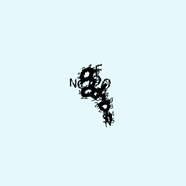 N#Cc1cccc(F)c1Oc1cccc2c1C(=O)N(Cc1ccc(-c3ccns3)cc1)C2